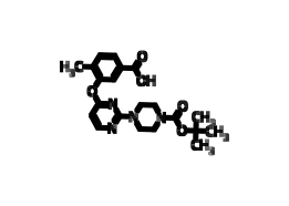 Cc1ccc(C(=O)O)cc1Oc1ccnc(N2CCN(C(=O)OC(C)(C)C)CC2)n1